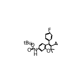 CC(C)(C)OC(=O)Nc1ccc2c(c1)OC(C)(C)C(C1CC1)=C2c1ccc(F)cc1